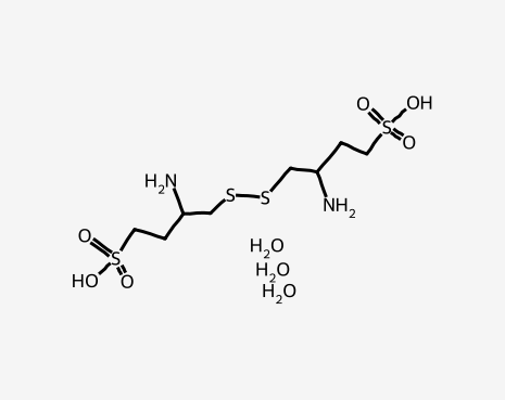 NC(CCS(=O)(=O)O)CSSCC(N)CCS(=O)(=O)O.O.O.O